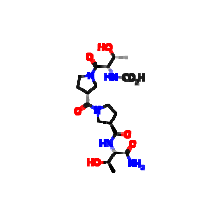 C[C@@H](O)[C@H](NC(=O)[C@@H]1CCN(C(=O)[C@@H]2CCN(C(=O)[C@@H](NC(=O)O)[C@@H](C)O)C2)C1)C(N)=O